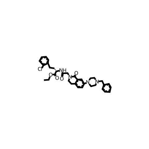 CCOC(=O)[C@H](CCc1ccccc1Cl)NC(=O)CN1CCc2ccc(N3CCN(Cc4ccccc4)CC3)cc2C1=O